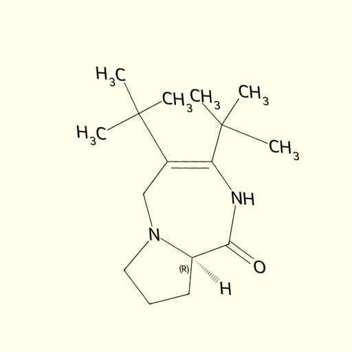 CC(C)(C)C1=C(C(C)(C)C)NC(=O)[C@H]2CCCN2C1